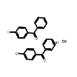 Cl.Cl.O=C(c1ccccc1)c1ccc(Cl)cc1.O=C(c1ccccc1)c1ccc(Cl)cc1